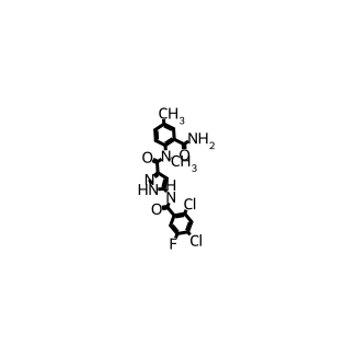 Cc1ccc(N(C)C(=O)c2cc(NC(=O)c3cc(F)c(Cl)cc3Cl)[nH]n2)c(C(N)=O)c1